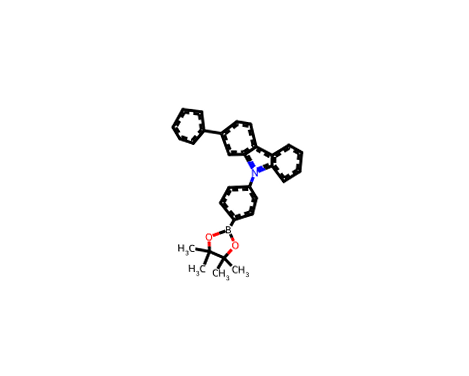 CC1(C)OB(c2ccc(-n3c4ccccc4c4ccc(-c5ccccc5)cc43)cc2)OC1(C)C